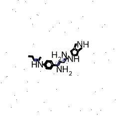 CC/C=C(\C)Nc1ccc(/C(N)=C/C=C(\N)NC2CC3CNCC3C2)cc1